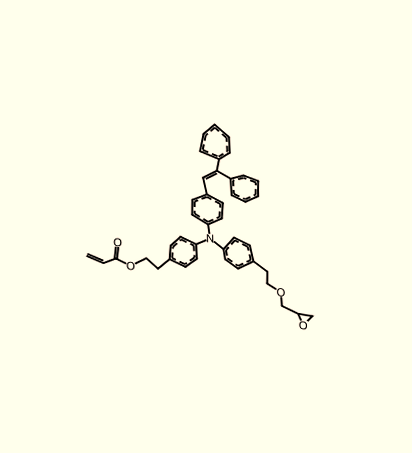 C=CC(=O)OCCc1ccc(N(c2ccc(C=C(c3ccccc3)c3ccccc3)cc2)c2ccc(CCOCC3CO3)cc2)cc1